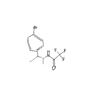 CC(NC(=O)C(F)(F)F)C(C)c1ccc(Br)cc1